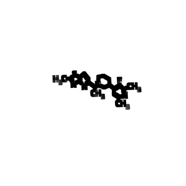 Cc1cc(C2CCCN([C@@H](C)c3ccc4sc(C)nc4n3)C2)c(F)c(C)n1